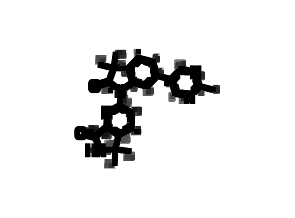 Cc1ncc(-c2ccc3c(c2)N(c2ccc4c(n2)C(=O)NC4(C)C)C(=O)C3(C)C)cn1